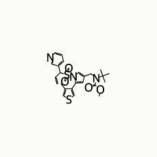 C=CC(c1cccnc1)S(=O)(=O)n1cc(CN(C(=O)OC)C(C)(C)C)cc1-c1cscc1C